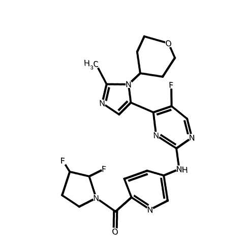 Cc1ncc(-c2nc(Nc3ccc(C(=O)N4CCC(F)C4F)nc3)ncc2F)n1C1CCOCC1